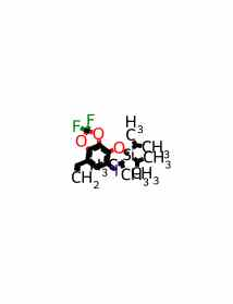 C=Cc1cc(I)c(O[Si](C(C)C)(C(C)C)C(C)C)c2c1OC(F)(F)O2